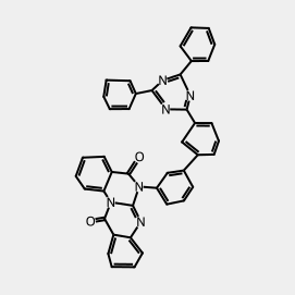 O=c1c2ccccc2n2c(=O)c3ccccc3nc2n1-c1cccc(-c2cccc(-c3nc(-c4ccccc4)nc(-c4ccccc4)n3)c2)c1